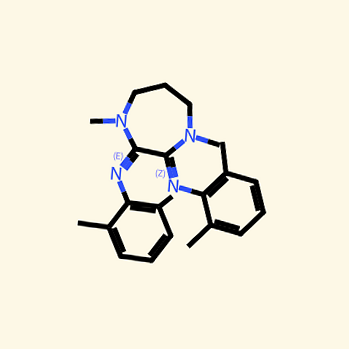 Cc1cccc(C)c1/N=C1/C(=N\c2c(C)cccc2C)N(C)CCCN1C